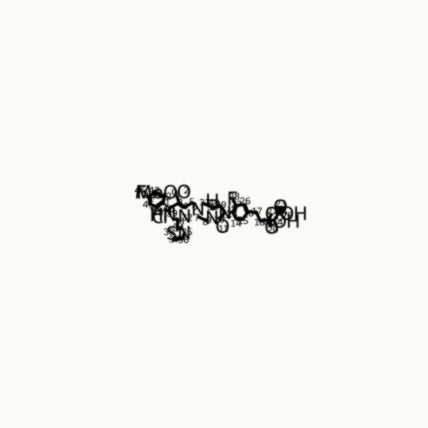 COC(=O)C1=C(CN2CCN3C(=O)N(c4ccc(CCC(=O)OP(=O)(O)O)cc4F)C[C@@H]3C2)N=C(c2nccs2)N[C@H]1c1ccc(F)cc1Cl